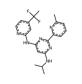 Cc1cccc(-c2nc(Nc3cc(C(C)(F)F)ccn3)cc(NC(C)C)n2)n1